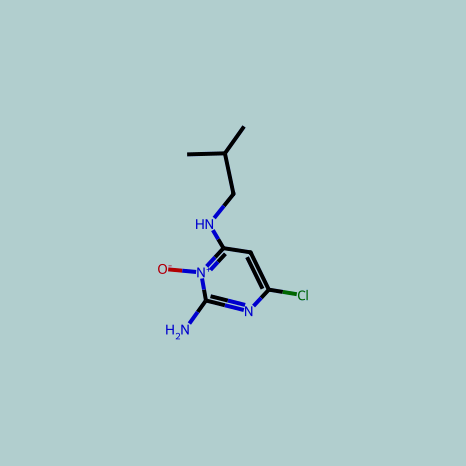 CC(C)CNc1cc(Cl)nc(N)[n+]1[O-]